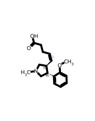 COc1ccccc1[C@@H]1CN(C)C[C@H]1/C=C\CCC(=O)O